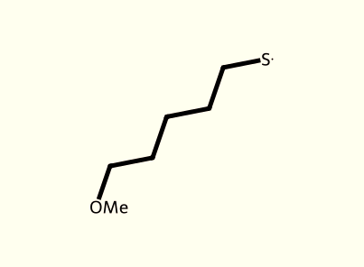 COCCCCC[S]